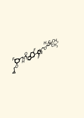 C[Si](C)(C)CCOCn1cc(-c2cc3ccn(C(=O)NCc4cc(F)cc(OCC5CC5)c4)c3cc2F)c(F)n1